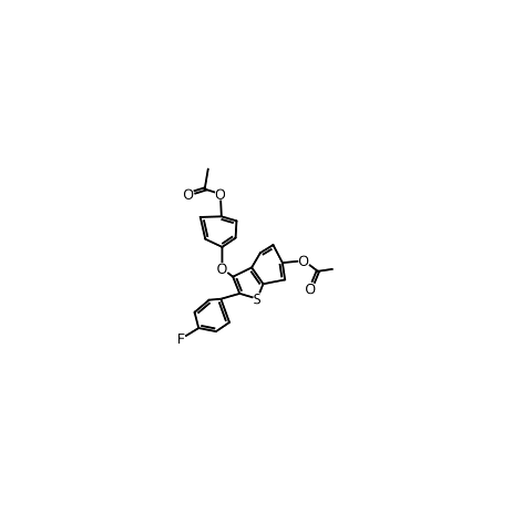 CC(=O)Oc1ccc(Oc2c(-c3ccc(F)cc3)sc3cc(OC(C)=O)ccc23)cc1